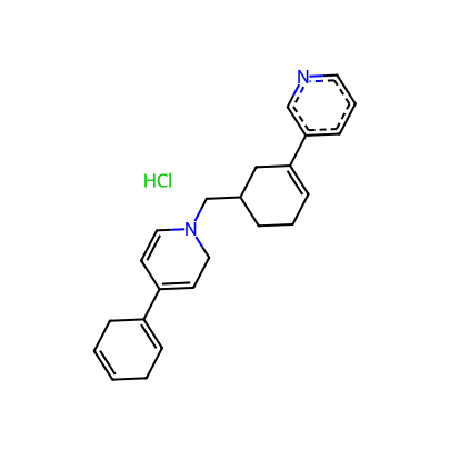 C1=CCC(C2=CCN(CC3CCC=C(c4cccnc4)C3)C=C2)=CC1.Cl